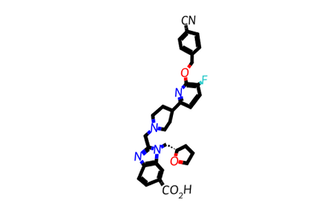 N#Cc1ccc(COc2nc(C3CCN(Cc4nc5ccc(C(=O)O)cc5n4C[C@@H]4CCCO4)CC3)ccc2F)cc1